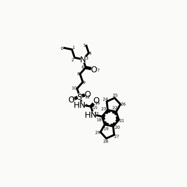 CCCN(CC)C(=O)CCCS(=O)(=O)NC(=O)Nc1c2c(cc3c1CCC3)CCC2